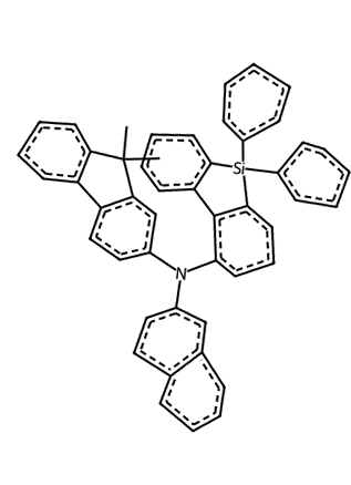 CC1(C)c2ccccc2-c2ccc(N(c3ccc4ccccc4c3)c3cccc4c3-c3ccccc3[Si]4(c3ccccc3)c3ccccc3)cc21